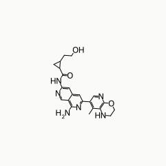 Cc1c(-c2cc3cc(NC(=O)C4CC4CCO)ncc3c(N)n2)cnc2c1NCCO2